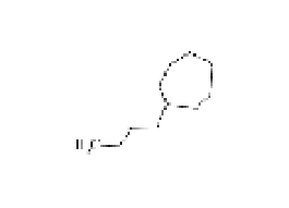 CC[CH]CC1CCCCCC1